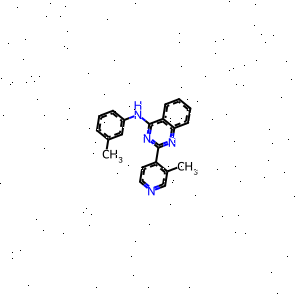 Cc1cccc(Nc2nc(-c3ccncc3C)nc3ccccc23)c1